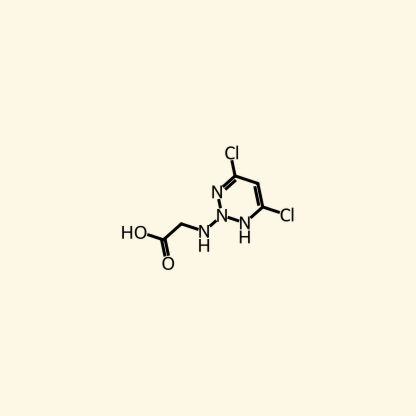 O=C(O)CNN1N=C(Cl)C=C(Cl)N1